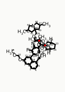 C#Cc1cccc2cc(OCOC)cc(-c3ncc4c(N5C[C@@H]6CC[C@H]([C@H]5C)N6C(=O)OC(C)(C)C)nc(OCC56CC(C)CN5CC(C)C6)nc4c3F)c12